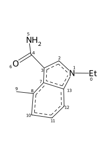 CCn1cc(C(N)=O)c2c(C)cccc21